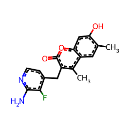 Cc1cc2c(C)c(Cc3ccnc(N)c3F)c(=O)oc2cc1O